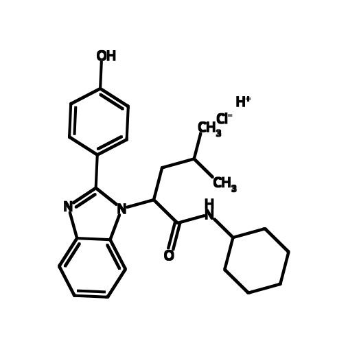 CC(C)CC(C(=O)NC1CCCCC1)n1c(-c2ccc(O)cc2)nc2ccccc21.[Cl-].[H+]